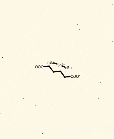 CCC[CH2][Sn+2][CH2]CCC.O=C([O-])CCCCC(=O)[O-]